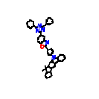 CC1(C)c2ccccc2-c2cc3c4ccccc4n(-c4ccc(-c5nc6cc(-c7nc(-c8ccccc8)nc(-c8ccccc8)n7)ccc6o5)cc4)c3cc21